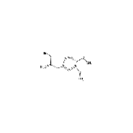 C=C(CBr)Cc1ccc(OC)c(OC)c1